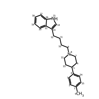 Cc1ccc(C2CCN(CCCCc3c[nH]c4ccccc34)CC2)cc1